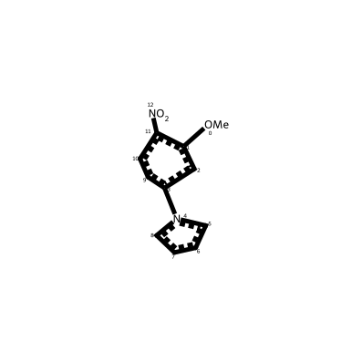 COc1cc(-n2cccc2)ccc1[N+](=O)[O-]